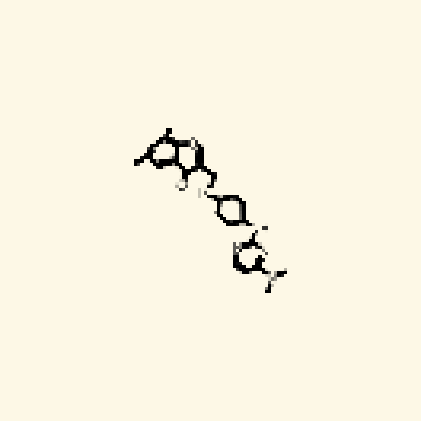 Cc1cc(C)c2occ(CNC3CCC(Nc4nccc(N(C)C)n4)CC3)c(=O)c2c1